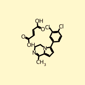 CC1=NCCn2c1ccc2-c1ccc(Cl)c(Cl)c1.O=C(O)C=CC(=O)O